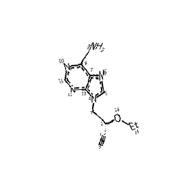 C#C[C@H](Cn1cnc2c(N)ncnc21)OCC